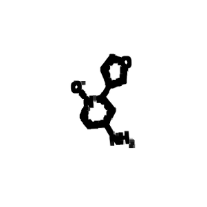 Nc1cc[n+]([O-])c(-c2ccoc2)c1